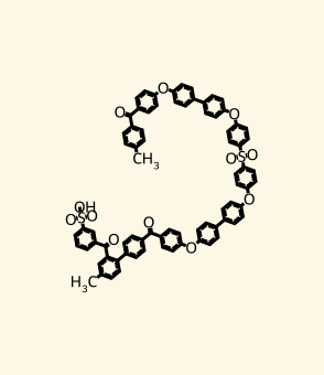 Cc1ccc(C(=O)c2ccc(Oc3ccc(-c4ccc(Oc5ccc(S(=O)(=O)c6ccc(Oc7ccc(-c8ccc(Oc9ccc(C(=O)c%10ccc(-c%11ccc(C)cc%11C(=O)c%11cccc(S(=O)(=O)O)c%11)cc%10)cc9)cc8)cc7)cc6)cc5)cc4)cc3)cc2)cc1